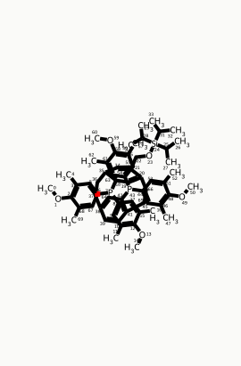 COc1c(C)cc(P(c2cc(C)c(OC)c(C)c2)c2cc3c(CO[Si](C(C)C)(C(C)C)C(C)C)cc2CCc2ccc(c(P(c4cc(C)c(OC)c(C)c4)c4cc(C)c(OC)c(C)c4)c2)CC3)cc1C